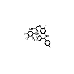 N#Cc1cnc2c(Cl)cc(NC(c3ccc(F)cc3)c3c[nH]nn3)cc2c1Nc1ccc(Cl)c(Cl)c1F